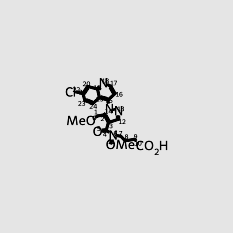 COCc1c(C(=O)N(CCCC(=O)O)OC)cnn1-c1ccnc2cc(Cl)ccc12